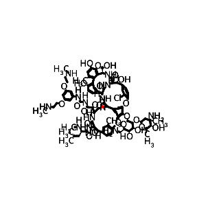 CNCCOc1cc(NC(=O)NC(=O)C[C@@H]2NC(=O)[C@H](NC(=O)[C@@H](CC(C)C)NC)[C@H](O)c3ccc(c(C)c3)Oc3cc4cc(c3O[C@@H]3O[C@H](CN)[C@@H](O)[C@H](O)[C@H]3O[C@H]3C[C@](C)(N)[C@H](O)[C@H](C)O3)Oc3ccc(cc3Cl)[C@@H](O)[C@@H]3NC(=O)[C@H](NC(=O)[C@@H]4NC2=O)c2ccc(O)c(c2)-c2c(C)cc(O)cc2[C@@H](C(=O)O)NC3=O)cc(OCCNC)c1